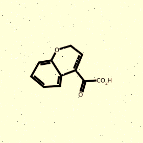 O=C(O)C(=O)C1=CCOc2ccccc21